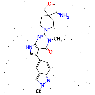 CCn1cc2cc(-c3c[nH]c4nc(N5CCC6(CC5)COC[C@H]6N)n(C)c(=O)c34)ccc2n1